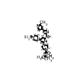 Cc1cc(-c2cnc(Nc3cc(N4CCN(C)CC4)cc(N4CCN(C(=O)OC(C)(C)C)CC4)n3)s2)ccn1